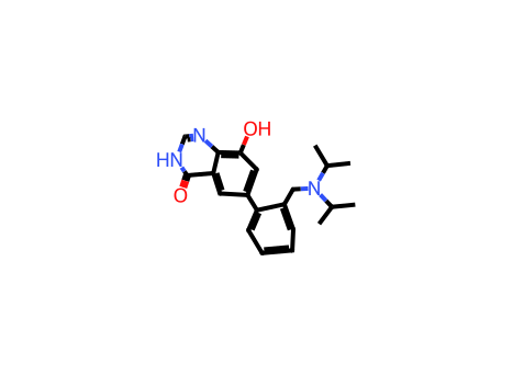 CC(C)N(Cc1ccccc1-c1cc(O)c2nc[nH]c(=O)c2c1)C(C)C